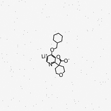 O=C([O-])C1(c2cc(OCC3CCCCC3)ccn2)CCOCC1.[Li+]